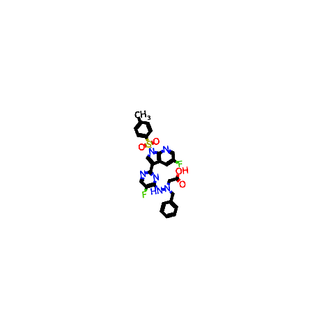 Cc1ccc(S(=O)(=O)n2cc(-c3ncc(F)c(NN(CC(=O)O)Cc4ccccc4)n3)c3cc(F)cnc32)cc1